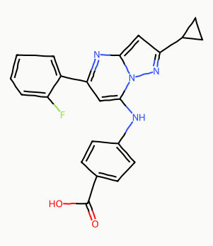 O=C(O)c1ccc(Nc2cc(-c3ccccc3F)nc3cc(C4CC4)nn23)cc1